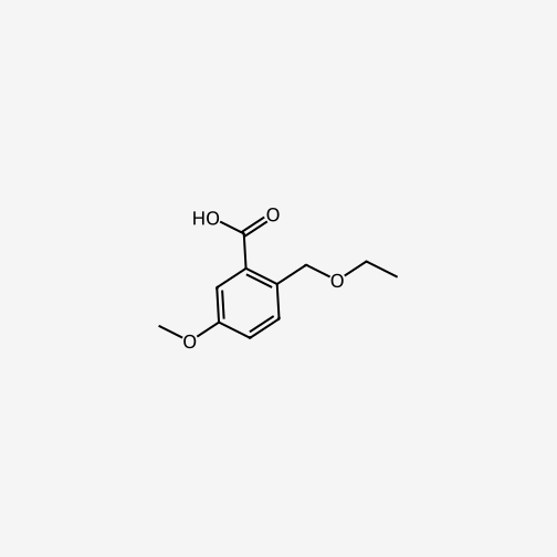 CCOCc1ccc(OC)cc1C(=O)O